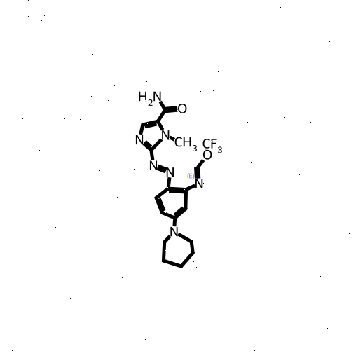 Cn1c(C(N)=O)cnc1N=Nc1ccc(N2CCCCC2)cc1/N=C/OC(F)(F)F